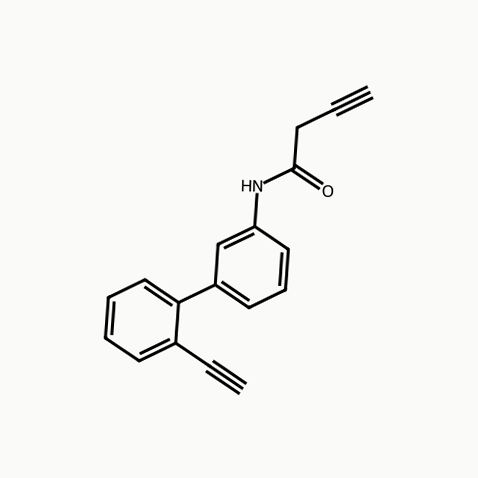 C#CCC(=O)Nc1cccc(-c2ccccc2C#C)c1